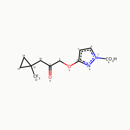 O=C(COc1ccn(C(=O)O)n1)CC1(C(F)(F)F)CC1